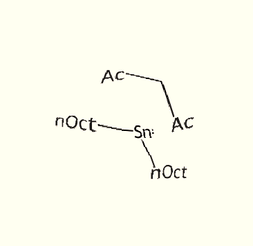 CC(=O)CC(C)=O.CCCCCCC[CH2][Sn][CH2]CCCCCCC